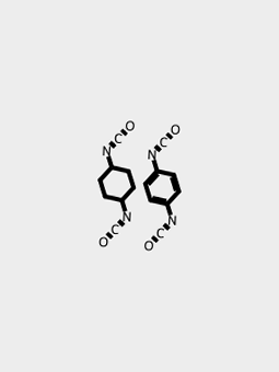 O=C=NC1CCC(N=C=O)CC1.O=C=Nc1ccc(N=C=O)cc1